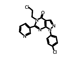 O=c1c2cnn(-c3ccc(Cl)cc3)c2nc(-c2cccnc2)n1CCCl